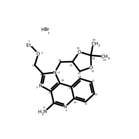 Br.CCOCc1nc2c(N)nc3ccccc3c2n1CC1COC(C)(C)O1